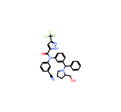 N#Cc1cccc(N(C(=O)c2cc(C(F)(F)F)n[nH]2)c2cccc(C(c3ccccc3)N3CCCC3CO)c2)c1